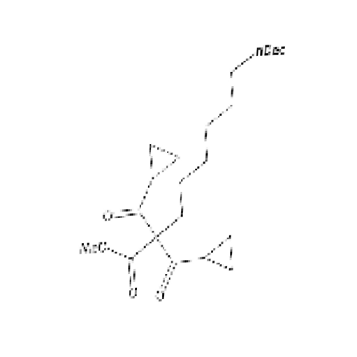 CCCCCCCCCCCCCCCCC(C(=O)OC)(C(=O)C1CC1)C(=O)C1CC1